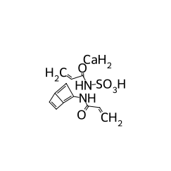 C=CC(=O)NS(=O)(=O)O.C=CC(=O)Nc1cc2ccc1-2.[CaH2]